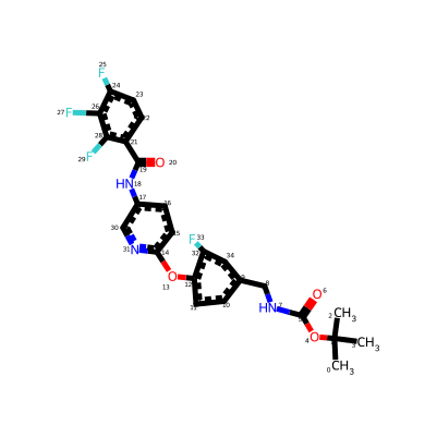 CC(C)(C)OC(=O)NCc1ccc(Oc2ccc(NC(=O)c3ccc(F)c(F)c3F)cn2)c(F)c1